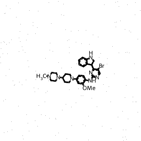 COc1cc(N2CCC(N3CCN(C)CC3)CC2)ccc1Nc1ncc(Br)c(C2CNc3ccccc32)n1